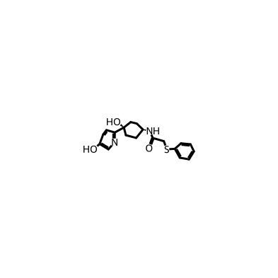 O=C(CSc1ccccc1)N[C@H]1CC[C@@](O)(c2ccc(O)cn2)CC1